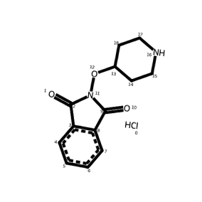 Cl.O=C1c2ccccc2C(=O)N1OC1CCNCC1